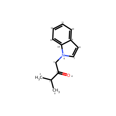 CC(C)C(=O)Cn1ccc2ccccc21